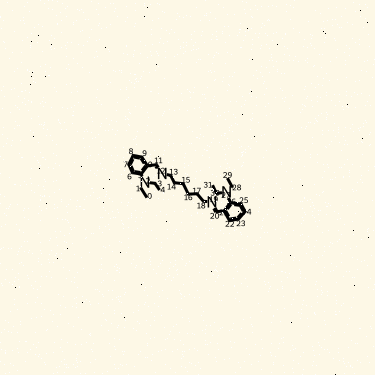 CCN(CC)c1ccccc1/C=N/CCCCCC/N=C/c1ccccc1N(CC)CC